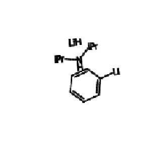 CC(C)NC(C)C.[LiH].[Li][c]1ccccc1